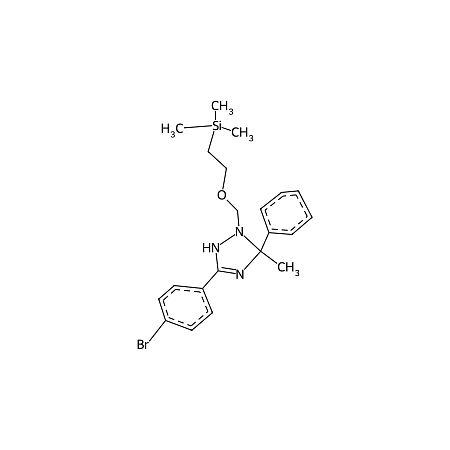 CC1(c2ccccc2)N=C(c2ccc(Br)cc2)NN1COCC[Si](C)(C)C